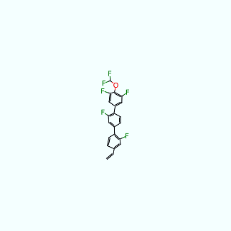 C=Cc1ccc(-c2ccc(-c3cc(F)c(OC(F)F)c(F)c3)c(F)c2)c(F)c1